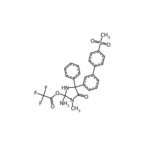 CN1C(=O)C(c2ccccc2)(c2cccc(-c3ccc(S(C)(=O)=O)cc3)c2)NC1(N)OC(=O)C(F)(F)F